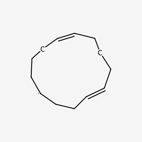 [CH]1CC/C=C/CCC/C=C\CCC1